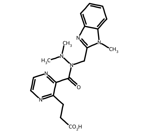 CN(C)N(Cc1nc2ccccc2n1C)C(=O)c1nccnc1CCC(=O)O